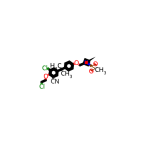 CC(C)(c1ccc(OCC23CC(C2)N(S(C)(=O)=O)C3)cc1)c1cc(Cl)c(OCCCl)c(C#N)c1